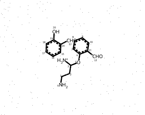 NCCC(N)Oc1ccccc1C=O.O=Cc1ccccc1O